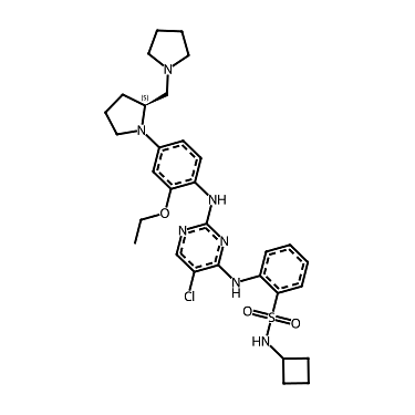 CCOc1cc(N2CCC[C@H]2CN2CCCC2)ccc1Nc1ncc(Cl)c(Nc2ccccc2S(=O)(=O)NC2CCC2)n1